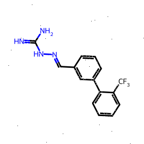 N=C(N)NN=Cc1cccc(-c2ccccc2C(F)(F)F)c1